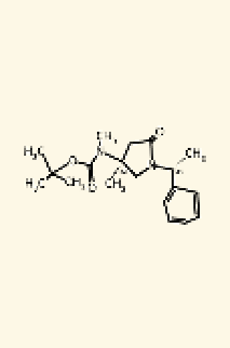 C[C@H](c1ccccc1)N1C[C@@](C)(N(C)C(=O)OC(C)(C)C)CC1=O